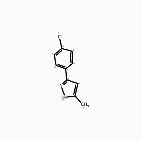 Cc1cc(-c2ccc(Cl)cc2)n[nH]1